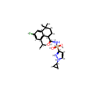 CC(C)c1cc(F)cc2c1C(C(=O)NS(=O)(=O)c1ccn(C3CC3)n1)CCC2(C)C